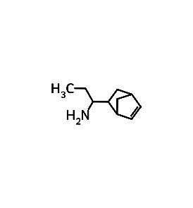 CCC(N)C1CC2C=CC1C2